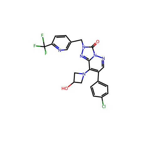 O=c1n(Cc2ccc(C(F)(F)F)nc2)nc2c(N3CC(O)C3)c(-c3ccc(Cl)cc3)cnn12